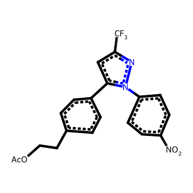 CC(=O)OCCc1ccc(-c2cc(C(F)(F)F)nn2-c2ccc([N+](=O)[O-])cc2)cc1